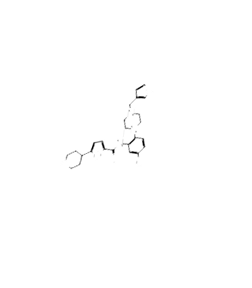 O=C(Nc1cc(C(F)(F)F)ccc1N1CCN(Cc2ccoc2)CC1)c1ccc(C2CCOCC2)o1